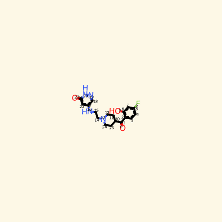 O=C(c1ccc(F)cc1O)C1CCN(CCNc2cn[nH]c(=O)c2)CC1